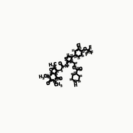 Cc1oc2c(c1CC(=O)N=c1scc(-c3ccc(OC(F)(F)F)c(Cl)c3)n1COC(=O)C1CCNCC1)c(=O)n(C)c(=O)n2C